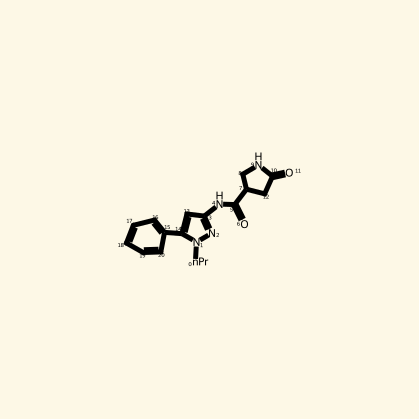 CCCn1nc(NC(=O)C2CNC(=O)C2)cc1-c1ccccc1